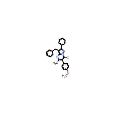 COc1ccc(-c2c(C)nc3c(Cc4ccccc4)c(-c4ccccc4)nn3c2Cl)cc1